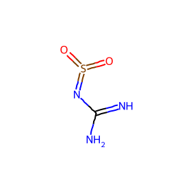 N=C(N)N=S(=O)=O